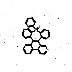 S=P1(c2ccccc2)c2ccccc2-c2c(c3cnccc3c3ccccc23)-c2ccccc21